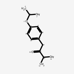 CC(O)Oc1ccc(CC(=O)C(C)O)cc1